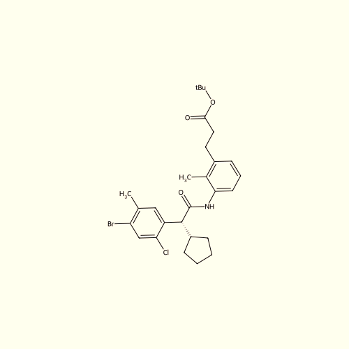 Cc1cc([C@H](C(=O)Nc2cccc(CCC(=O)OC(C)(C)C)c2C)C2CCCC2)c(Cl)cc1Br